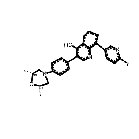 C[C@@H]1CN(c2ccc(-c3cnc4c(-c5ccc(F)nc5)cccc4c3O)cc2)C[C@H](C)O1